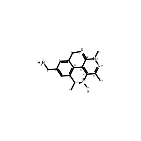 CCc1cc(CN)cc(CC)c1-c1c([S+](C)[O-])c(C)nn(C)c1=O